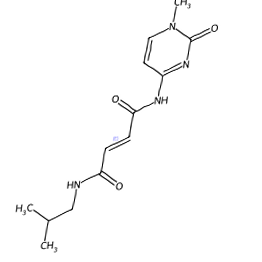 CC(C)CNC(=O)/C=C/C(=O)Nc1ccn(C)c(=O)n1